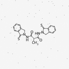 CC(C(=O)NN1Cc2ccccc2C1=S)C(=O)NN1Cc2ccccc2C1=S